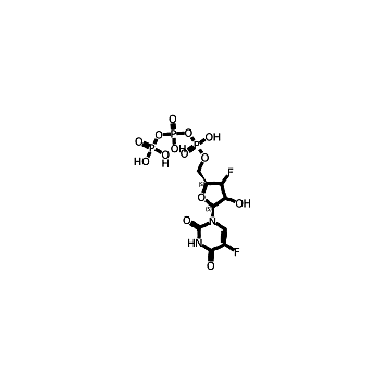 O=c1[nH]c(=O)n([C@H]2O[C@@H](COP(=O)(O)OP(=O)(O)OP(=O)(O)O)C(F)C2O)cc1F